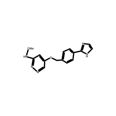 CONc1cc(OCc2ccc(-c3ncc[nH]3)cc2)cnn1